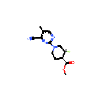 COC(=O)[C@@H]1CCN(c2ncc(C)c(C#N)n2)C[C@H]1F